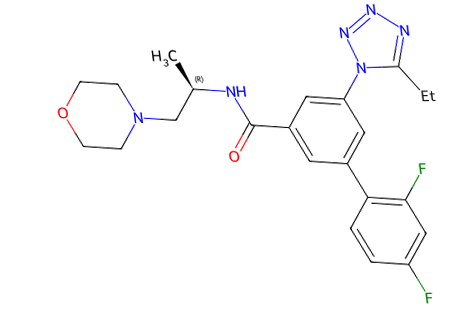 CCc1nnnn1-c1cc(C(=O)N[C@H](C)CN2CCOCC2)cc(-c2ccc(F)cc2F)c1